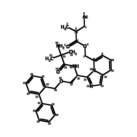 CC(=O)CN(C)C(=O)OCc1cccc2cnc([C@@H](COCc3ccccc3-c3ccccc3)NC(=O)C(C)(C)N)n12